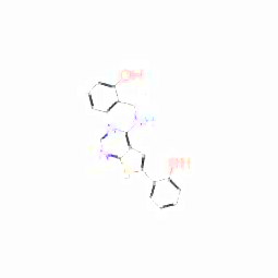 C[C@H](Nc1ncnc2sc(-c3ccccc3O)cc12)c1ccccc1O